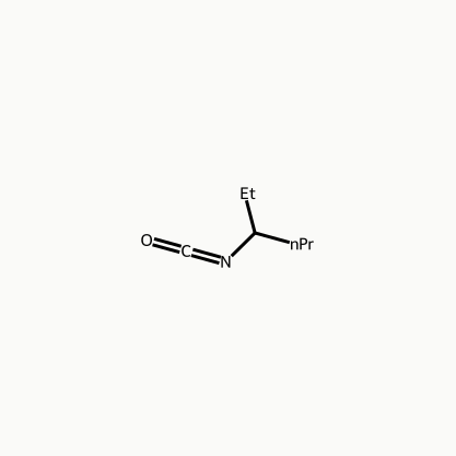 CCCC(CC)N=C=O